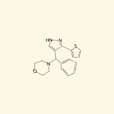 c1ccc(C(c2c[nH]nc2-c2cccs2)N2CCOCC2)cc1